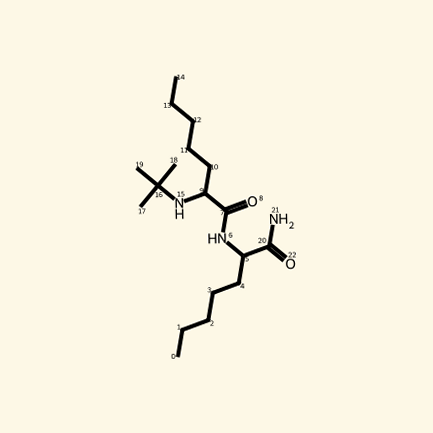 CCCCCC(NC(=O)C(CCCCC)NC(C)(C)C)C(N)=O